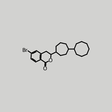 O=C1OC(C2CCCC(C3CCCCCCC3)CC2)Cc2cc(Br)ccc21